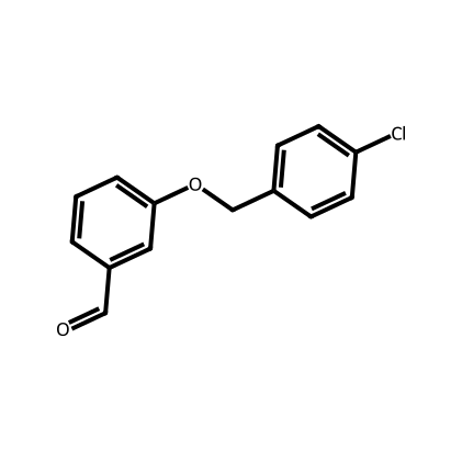 O=Cc1cccc(OCc2ccc(Cl)cc2)c1